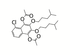 CC(=O)Oc1c(OCCCC(C)C)c(OCCCC(C)C)c(OC(C)=O)c2c(Cl)cccc12